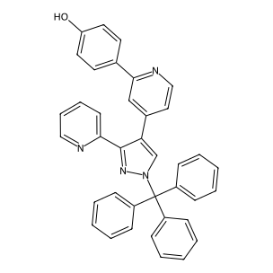 Oc1ccc(-c2cc(-c3cn(C(c4ccccc4)(c4ccccc4)c4ccccc4)nc3-c3ccccn3)ccn2)cc1